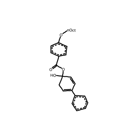 CCCCCCCCOc1ccc(C(=O)OC2(O)C=CC(c3ccccc3)=CC2)cc1